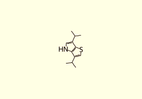 CC(C)c1csc2c(C(C)C)c[nH]c12